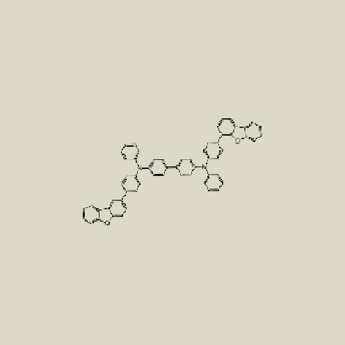 c1ccc(N(c2ccc(-c3ccc(N(c4ccccc4)c4ccc(-c5cccc6c5oc5ccccc56)cc4)cc3)cc2)c2ccc(-c3ccc4oc5ccccc5c4c3)cc2)cc1